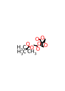 CC(C)(C)C(=O)OCC(=O)OC1C2CC3C(=O)OC1C3O2